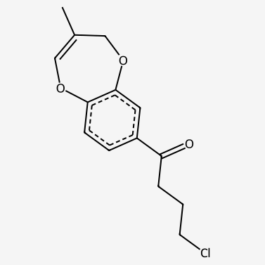 CC1=COc2ccc(C(=O)CCCCl)cc2OC1